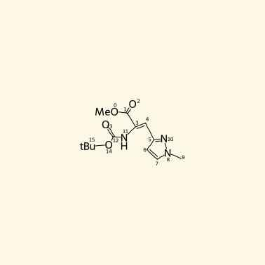 COC(=O)/C(=C/c1ccn(C)n1)NC(=O)OC(C)(C)C